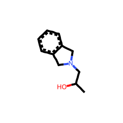 CC(O)CN1Cc2ccccc2C1